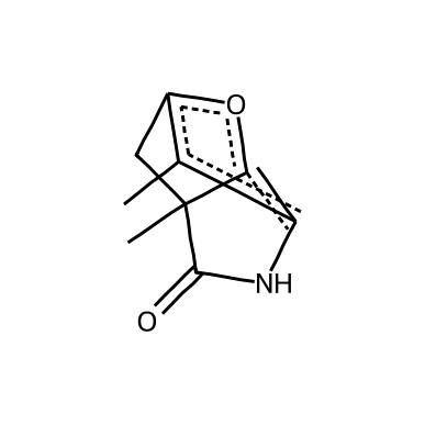 Cc1c2oc3c1NC(=O)C3(C)C2